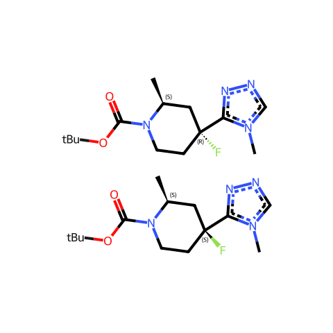 C[C@H]1C[C@@](F)(c2nncn2C)CCN1C(=O)OC(C)(C)C.C[C@H]1C[C@](F)(c2nncn2C)CCN1C(=O)OC(C)(C)C